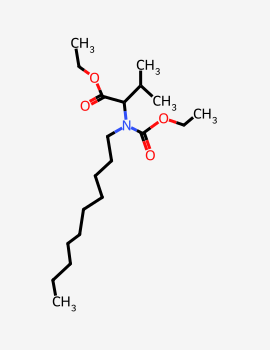 CCCCCCCCCCN(C(=O)OCC)C(C(=O)OCC)C(C)C